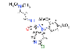 COc1cc([N+](=O)[O-])ccc1-n1nc(C(=O)NCCCN(C)C)c2cnc(Cl)cc21